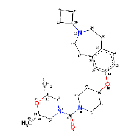 C[C@@H]1CN(C(=O)N2CCC(Oc3ccc4c(c3)CCN(C3CCC3)CC4)CC2)C[C@H](C)O1